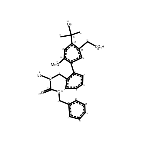 CCN(Cc1ccccc1-c1cc(CC(=O)O)c(C(C)(C)O)cc1OC)C(=O)OCc1ccccc1